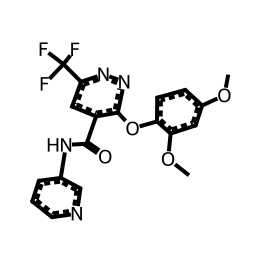 COc1ccc(Oc2nnc(C(F)(F)F)cc2C(=O)Nc2cccnc2)c(OC)c1